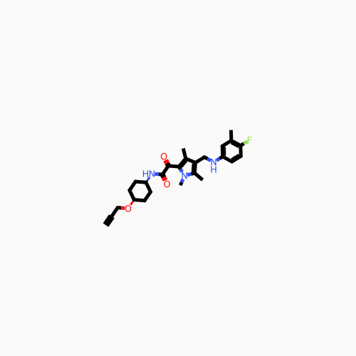 C#CCO[C@H]1CC[C@@H](NC(=O)C(=O)c2c(C)c(CNc3ccc(F)c(C)c3)c(C)n2C)CC1